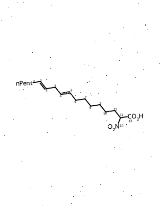 CCCCCC=CCC=CCCCCCCC(C(=O)O)[N+](=O)[O-]